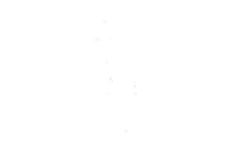 O=C(NCCCn1ccnc1)c1cc(Br)cc(Br)c1O